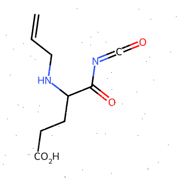 C=CCNC(CCC(=O)O)C(=O)N=C=O